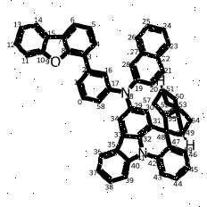 c1cc(-c2cccc3c2oc2ccccc23)cc(N(c2ccc3ccccc3c2)c2cc3c4c(c2)c2ccccc2n4-c2ccccc2C32[C@H]3C[C@H]4CC5(C3)C[C@]52C4)c1